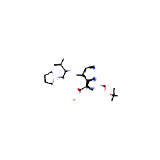 COC(=O)c1cn(C(=O)OC(C)(C)C)c2nccc(CNC(C(=O)N3CCCC3)C(C)C)c12